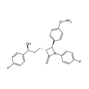 O=C1[C@H](CC[C@H](O)c2ccc(F)cc2)[C@@H](c2ccc(OP)cc2)N1c1ccc(F)cc1